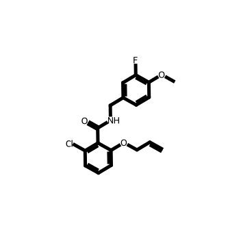 C=CCOc1cccc(Cl)c1C(=O)NCc1ccc(OC)c(F)c1